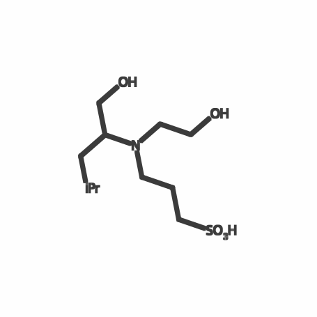 CC(C)CC(CO)N(CCO)CCCS(=O)(=O)O